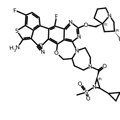 CS(=O)(=O)N1C(C2CC2)[C@@H]1C(=O)N1CCC2COc3c(Cl)c(-c4ccc(F)c5sc(N)c(C#N)c45)c(F)c4nc(OC[C@@]56CCCN5C[C@H](F)C6)nc(c34)N2CC1